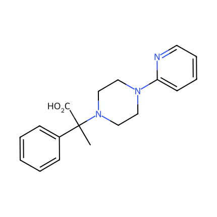 CC(C(=O)O)(c1ccccc1)N1CCN(c2ccccn2)CC1